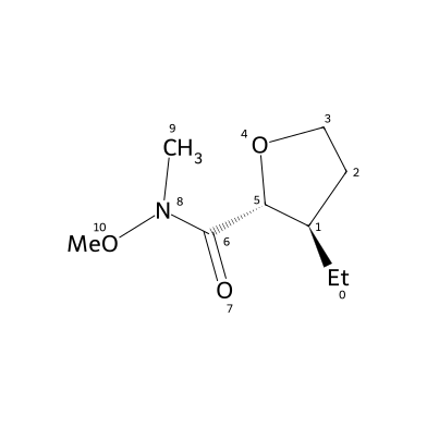 CC[C@@H]1CCO[C@H]1C(=O)N(C)OC